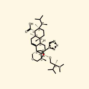 CC(C)[C@@H](C)[C@@]1(C)CC[C@]2(C)[C@H]3CC[C@@H]4[C@@]5(COC[C@@]4(C)[C@@H](OC[C@](C)(C(C)C)N(C)C)[C@H](n4cnnn4)C5)C3=CC[C@@]2(C)[C@@H]1C(=O)O